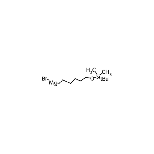 CC(C)(C)[Si](C)(C)OCCCCC[CH2][Mg][Br]